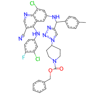 Cc1ccc(C(Nc2cc(Cl)c3ncc(C#N)c(Nc4ccc(F)c(Cl)c4)c3c2)c2cn(C3CCN(C(=O)OCc4ccccc4)CC3)nn2)cc1